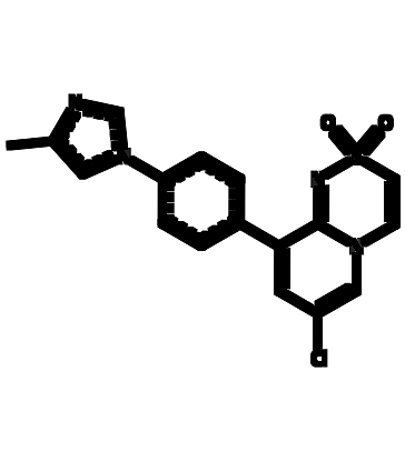 Cc1cn(-c2ccc(C3=CC(Cl)=CN4C=CS(=O)(=O)N=C34)cc2)cn1